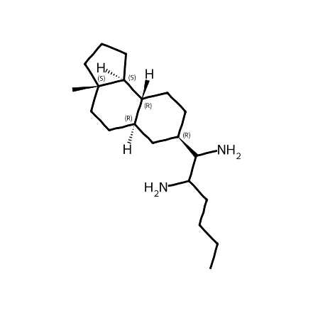 CCCCC(N)C(N)[C@@H]1CC[C@@H]2[C@H](CC[C@]3(C)CCC[C@@H]23)C1